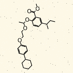 CCC(C)c1ccc(OC(C)OCCOc2ccc(C3CCCCC3)cc2)c(C(=O)OC)c1